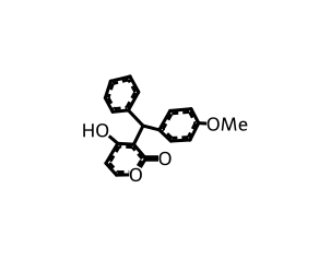 COc1ccc(C(c2ccccc2)c2c(O)ccoc2=O)cc1